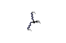 CC/C=C\C/C=C\C/C=C\C/C=C\C/C=C\C/C=C\CCCC1(CCC/C=C\C/C=C\C/C=C\C/C=C\C/C=C\C/C=C\CC)OCC(CCN(C)C)O1